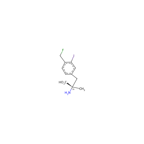 C[C@](N)(Cc1ccc(CF)c(I)c1)C(=O)O